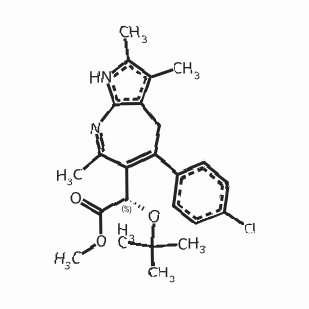 COC(=O)[C@@H](OC(C)(C)C)C1=C(c2ccc(Cl)cc2)Cc2c([nH]c(C)c2C)N=C1C